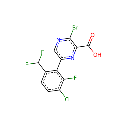 O=C(O)c1nc(-c2c(C(F)F)ccc(Cl)c2F)cnc1Br